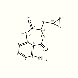 Nc1cccc2c1C(=O)NC(CC1CC1)C(=O)N2